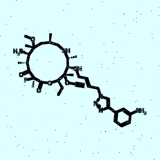 B[C@@H]1[C@@H](C)C(=O)[C@](C)(F)C(=O)O[C@H](CC)[C@@](C)(OC#C)[C@H](NC/C=C/Cn2cc(-c3cccc(N)c3)nn2)[C@@H](C)NC[C@H](C)C[C@@]1(C)OC